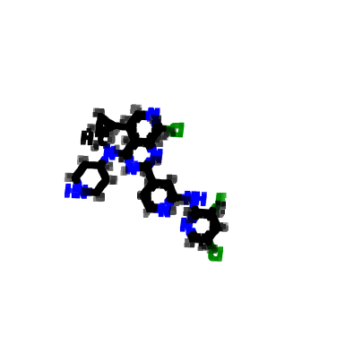 CN(c1nc(-c2ccnc(Nc3ncc(Cl)cc3F)c2)nc2c(Cl)ncc(C3CC3)c12)C1CCNCC1